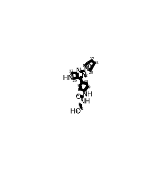 O=C(NCCO)Nc1ccc(-c2nc(N3CC4CCC(C3)O4)nc3c2CNC3)cc1